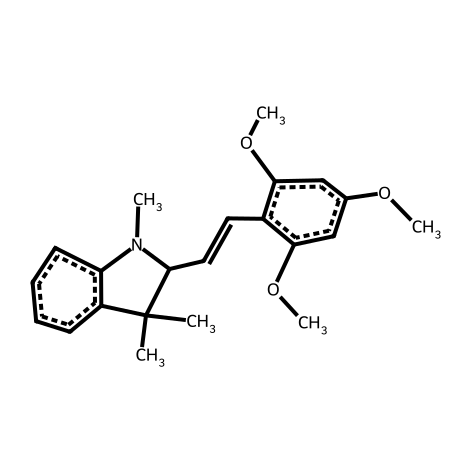 COc1cc(OC)c(/C=C/C2N(C)c3ccccc3C2(C)C)c(OC)c1